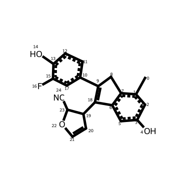 Cc1cc(O)cc2c1CC(c1ccc(O)c(F)c1)=C2C1C=COC1C#N